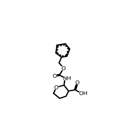 O=C(NC1OCCCC1C(=O)O)OCc1ccccc1